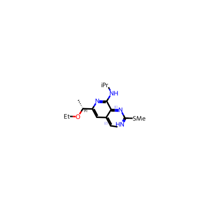 C/C=C1/C=C([C@@H](C)OCC)N=C(NC(C)C)/C1=N/C(=N)SC